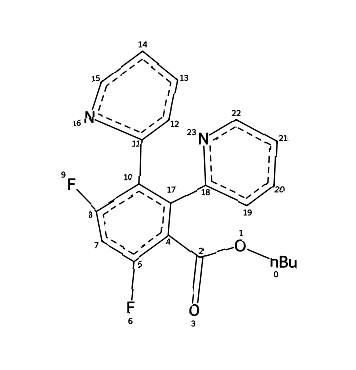 CCCCOC(=O)c1c(F)cc(F)c(-c2ccccn2)c1-c1ccccn1